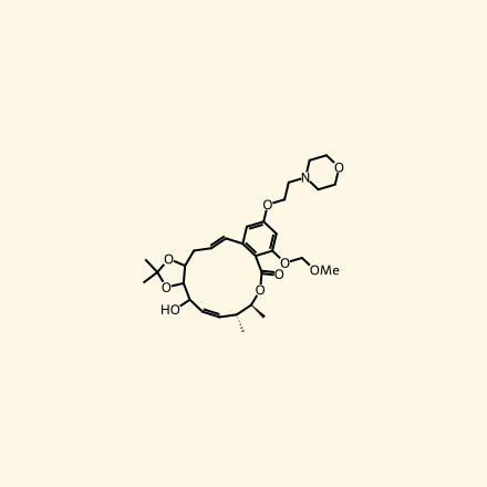 COCOc1cc(OCCN2CCOCC2)cc2c1C(=O)O[C@@H](C)[C@H](C)/C=C\C(O)C1OC(C)(C)OC1C/C=C/2